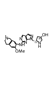 COc1cc2c(cc1Nc1ncc3cnn(C[C@@H]4C[C@@H](O)CN4)c3n1)CN(C)CC2